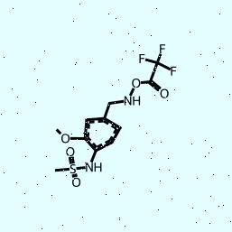 COc1cc(CNOC(=O)C(F)(F)F)ccc1NS(C)(=O)=O